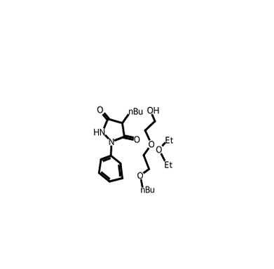 CCCCC1C(=O)NN(c2ccccc2)C1=O.CCCCOCCOCCO.CCOCC